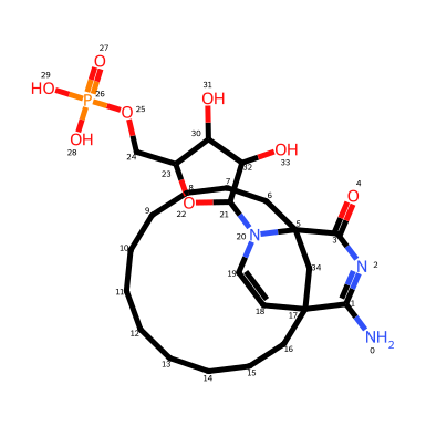 NC1=NC(=O)C23CCCCCCCCCCCC1(C=CN2C1OC(COP(=O)(O)O)C(O)C1O)C3